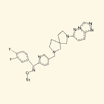 CCON=C(c1ccc(F)c(F)c1)c1ccc(CN2CCC3(CCN(c4ccc5nncn5n4)C3)C2)cn1